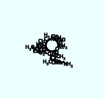 CC[C@H]1OC(=O)[C@H](C)[C@@H](O[C@H]2C[C@@](C)(OC)[C@@H](OCCCN)[C@H](C)O2)[C@H](C)[C@@H](O[C@@H]2O[C@H](C)C[C@H](N(C)C)[C@H]2OC(C)=O)[C@](C)(O)C[C@@H](C)CN(C)[C@H](C)[C@H]2OC(=O)O[C@@]21C